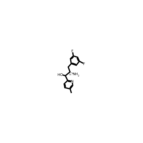 Cc1ccc(C(O)[C@@H](N)Cc2cc(F)cc(F)c2)nc1